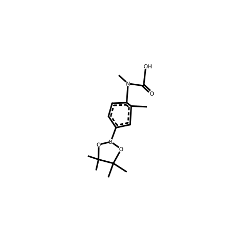 Cc1cc(B2OC(C)(C)C(C)(C)O2)ccc1N(C)C(=O)O